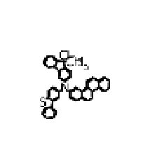 CC1(C)c2ccccc2-c2cc(N(c3ccc4ccc5c6ccccc6ccc5c4c3)c3ccc4sc5ccccc5c4c3)ccc21